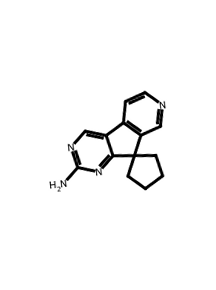 Nc1ncc2c(n1)C1(CCCC1)c1cnccc1-2